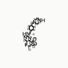 C[C@H](Nc1nccc(N2C(=O)OCC2[C@@H](C)F)n1)c1ccc(CN2CCNCC2)cc1